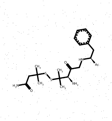 CC(=O)[C@H](Cc1ccccc1)NCC(=O)[C@@H](N)C(C)(C)SSC(C)(C)CC(N)=O